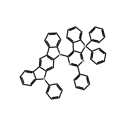 c1ccc(-c2nc(-n3c4ccccc4c4cc5c6ccccc6n(-c6ccccc6)c5cc43)c3c(n2)[Si](c2ccccc2)(c2ccccc2)c2ccccc2-3)cc1